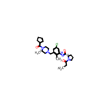 CCC(=O)N1CCC[C@H]1C(=O)Nc1cc(Cl)cc(CN2CCN(C(=O)C3CCCC3)[C@@H](C)C2)c1C